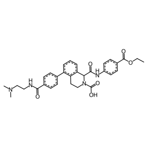 CCOC(=O)c1ccc(NC(=O)C2c3cccc(-c4ccc(C(=O)NCCN(C)C)cc4)c3CCN2C(=O)O)cc1